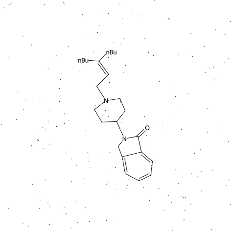 CCCCC(=CCN1CCC(N2Cc3ccccc3C2=O)CC1)CCCC